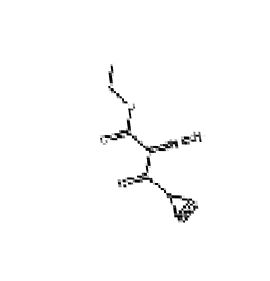 CCOC(=O)C(=[N+]=[N-])C(=O)C1C#C1